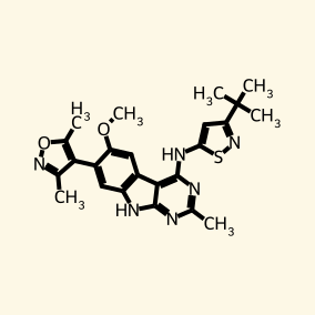 COc1cc2c(cc1-c1c(C)noc1C)[nH]c1nc(C)nc(Nc3cc(C(C)(C)C)ns3)c12